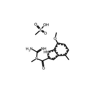 COc1ccc(C)c2cc(C(=O)N(C)C(=N)N)[nH]c12.CS(=O)(=O)O